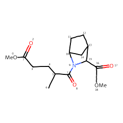 COC(=O)CCC(C)C(=O)N1C2CCC(C2)C1C(=O)OC